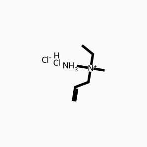 C=CC[N+](C)(C)CC.Cl.N.[Cl-]